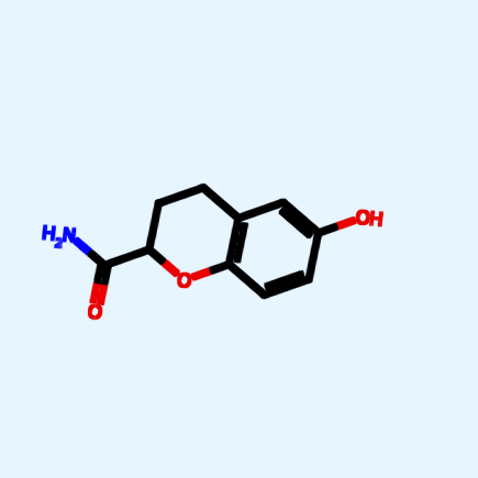 NC(=O)C1CCc2cc(O)ccc2O1